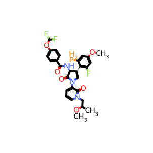 COc1cc(F)c([C@@H]2CN(c3cccn(CC(C)OC)c3=O)C(=O)[C@H]2NC(=O)c2ccc(OC(F)F)cc2)c(P)c1